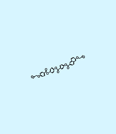 O=C(Oc1ccc(OC(=O)c2ccc(OC(=O)c3ccc4cc(OCC5CO5)ccc4c3)cc2)cc1)c1ccc(OCC2CO2)cc1